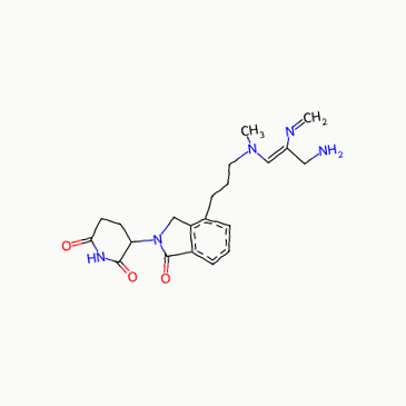 C=N/C(=C\N(C)CCCc1cccc2c1CN(C1CCC(=O)NC1=O)C2=O)CN